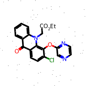 CCOC(=O)Cn1c2ccccc2c(=O)c2ccc(Cl)c(Oc3cnccn3)c21